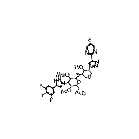 COC1C(SC2COCC(n3cc(-c4ncc(F)cn4)nn3)C2O)OC(COC(C)=O)C(OC(C)=O)C1n1cc(-c2cc(F)c(F)c(F)c2)nn1